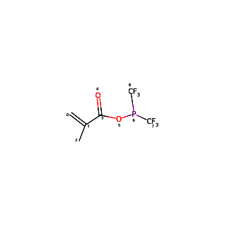 C=C(C)C(=O)OP(C(F)(F)F)C(F)(F)F